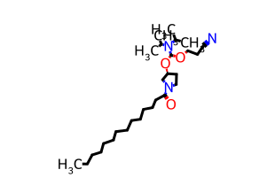 CCCCCCCCCCCCCC(=O)N1CC[C@H](OC(OCCC#N)N(C(C)C)C(C)C)C1